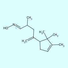 C=C(CC(C)/C=N/O)C1CC=C(C)C1(C)C